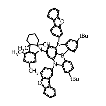 Cc1cc(C)c2c(c1)N(c1cc3c4c(c1)N(c1ccc5oc6ccccc6c5c1)c1cc(C(C)(C)C)ccc1B4c1ccc(C(C)(C)C)cc1N3c1ccc3c(c1)oc1ccccc13)C1(C)CCCCC21C